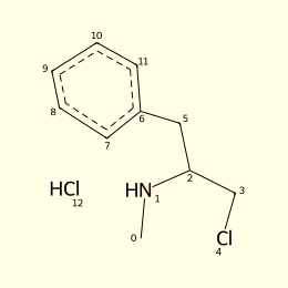 CNC(CCl)Cc1ccccc1.Cl